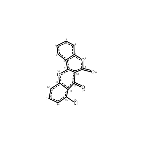 O=c1oc2ccccc2c2oc3cccc(Cl)c3c(=O)c12